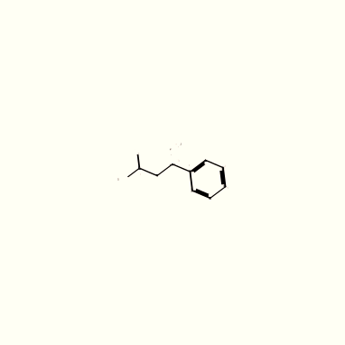 CO[C@@H](CC(C(C)=O)C(=O)O)c1ccccc1